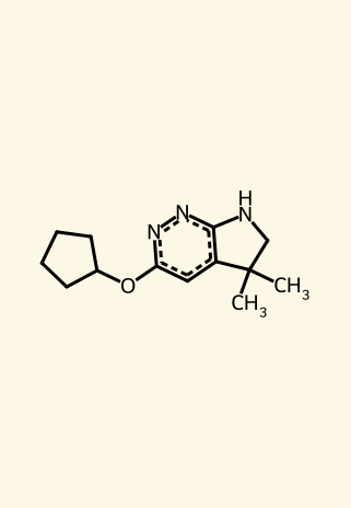 CC1(C)CNc2nnc(OC3CCCC3)cc21